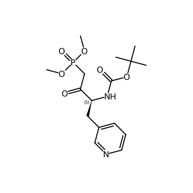 COP(=O)(CC(=O)[C@H](Cc1cccnc1)NC(=O)OC(C)(C)C)OC